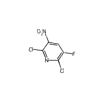 O=[N+]([O-])c1cc(F)c(Cl)nc1Cl